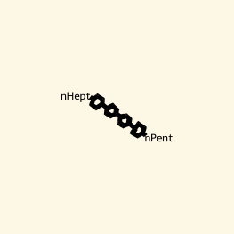 CCCCCCCC1CCC(c2ccc(-c3ccc(C4=CCC(CCCCC)CC4)cc3)cc2)CC1